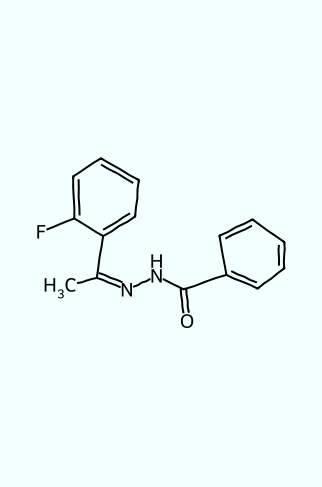 CC(=NNC(=O)c1ccccc1)c1ccccc1F